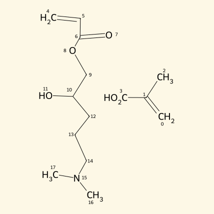 C=C(C)C(=O)O.C=CC(=O)OCC(O)CCCN(C)C